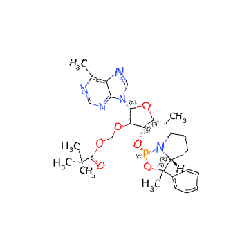 CC[C@H]1O[C@@H](n2cnc3c(C)ncnc32)C(OCOC(=O)C(C)(C)C)[C@H]1O[P@]1O[C@@](C)(c2ccccc2)[C@H]2CCCN21